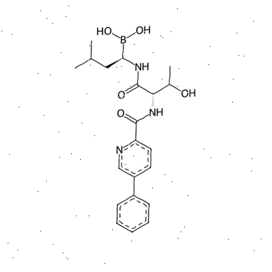 CC(C)C[C@H](NC(=O)[C@@H](NC(=O)c1ccc(-c2ccccc2)cn1)C(C)O)B(O)O